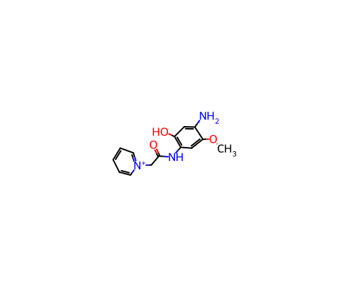 COc1cc(NC(=O)C[n+]2ccccc2)c(O)cc1N